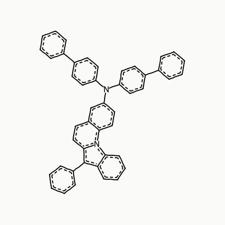 c1ccc(-c2ccc(N(c3ccc(-c4ccccc4)cc3)c3ccc4c(ccc5c(-c6ccccc6)c6ccccc6n54)c3)cc2)cc1